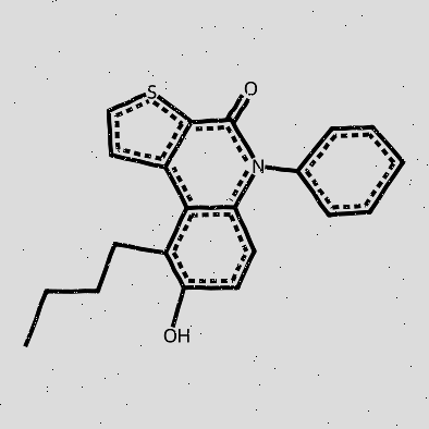 CCCCc1c(O)ccc2c1c1ccsc1c(=O)n2-c1ccccc1